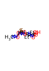 CCc1c2c(nc3ccc(OC(=O)N4CCN(C(=O)CCC(=O)N5CCN(C)CC5)[C@@H]5CSSC[C@@H]54)cc13)-c1cc3c(c(=O)n1C2)COC(=O)[C@]3(O)CC